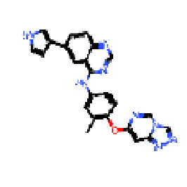 Cc1cc(Nc2ncnc3ccc(-c4cc[nH]c4)cc23)ccc1Oc1cc2nncn2cn1